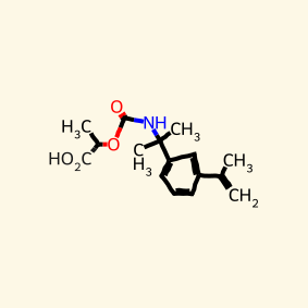 C=C(C)c1cccc(C(C)(C)NC(=O)OC(C)C(=O)O)c1